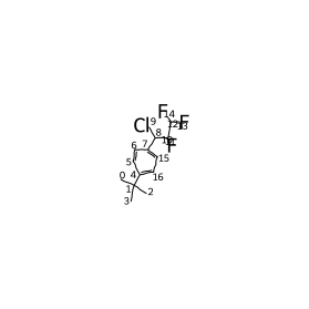 CC(C)(C)c1ccc(C(Cl)C(F)C(F)F)cc1